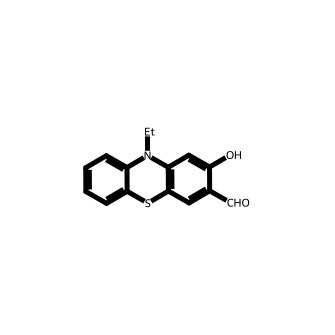 CCN1c2ccccc2Sc2cc(C=O)c(O)cc21